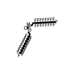 O=[PH](OCCC(F)(F)C(F)(F)C(F)(F)C(F)(F)C(F)(F)C(F)(F)C(F)(F)C(F)(F)F)OCCC(F)(F)C(F)(F)C(F)(F)C(F)(F)C(F)(F)C(F)(F)C(F)(F)C(F)(F)F